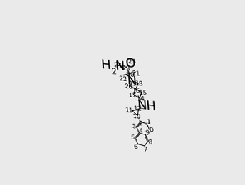 CC/C(=C\C1=CCCC=C1)[C@@H]1CC1NC1CC2(C1)CN(C(C)(C)C(N)=O)C2